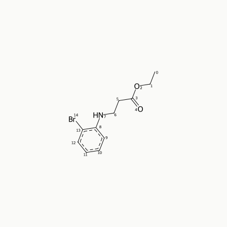 CCOC(=O)CCNc1ccccc1Br